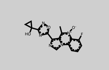 Cc1c2c(-c3nc(C4(O)CC4)no3)ncn2c2cccc(F)c2[n+]1[O-]